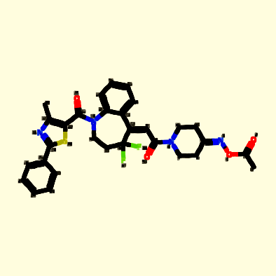 CC(=O)ON=C1CCN(C(=O)/C=C2/c3ccccc3N(C(=O)c3sc(-c4ccccc4)nc3C)CCC2(F)F)CC1